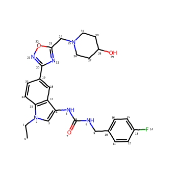 CCn1cc(NC(=O)NCc2ccc(F)cc2)c2cc(-c3noc(CN4CCC(O)CC4)n3)ccc21